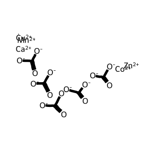 O=C([O-])[O-].O=C([O-])[O-].O=C([O-])[O-].O=C([O-])[O-].O=C([O-])[O-].[Ca+2].[Co+2].[Cu+2].[Mn+2].[Zn+2]